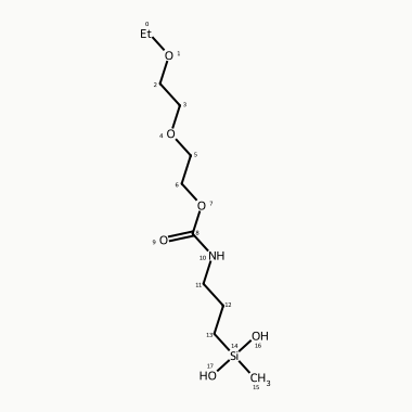 CCOCCOCCOC(=O)NCCC[Si](C)(O)O